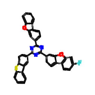 Fc1ccc2c(c1)oc1cc(-c3nc(-c4ccc5c(c4)oc4ccccc45)nc(-c4ccc5sc6ccccc6c5c4)n3)ccc12